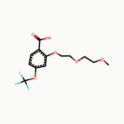 COCCOCCOc1cc(OC(F)(F)F)ccc1C(=O)O